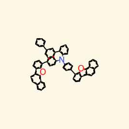 c1ccc(-c2cccc(-c3ccccc3N(c3ccc(-c4cccc5c4oc4c6ccccc6ccc54)cc3)c3ccc(-c4cccc5c4oc4c6ccccc6ccc54)cc3)c2)cc1